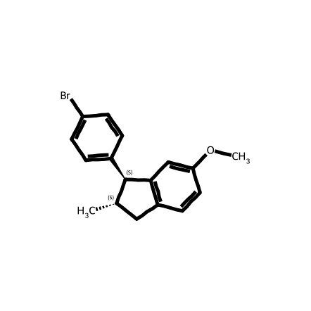 COc1ccc2c(c1)[C@H](c1ccc(Br)cc1)[C@@H](C)C2